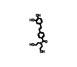 O=C(c1ccc(C=Cc2ccc(O)c(O)c2)cc1)N(CCO)CCO